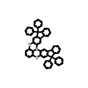 c1ccc(C2(c3ccccc3)c3ccccc3-c3cc4c(cc32)Sc2cccc3c2B4c2cc4c(cc2S3)C(c2ccccc2)(c2ccccc2)c2ccccc2-4)cc1